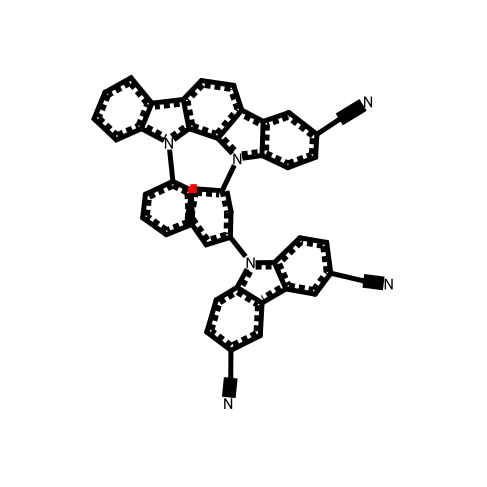 N#Cc1ccc2c(c1)c1cc(C#N)ccc1n2-c1cccc(-n2c3ccc(C#N)cc3c3ccc4c5ccccc5n(-c5ccccc5)c4c32)c1